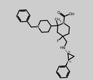 CC1(C2CCN(Cc3ccccc3)CC2)CC(F)(CN[C@@H]2C[C@H]2c2ccccc2)CCN1C(=O)O